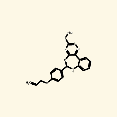 C=CCOc1ccc(C2Nc3ccccc3-c3nnc(SCCCC)nc3O2)cc1